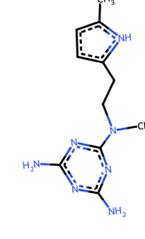 Cc1ccc(CCN(C)c2nc(N)nc(N)n2)[nH]1